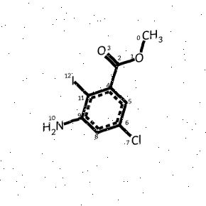 COC(=O)c1cc(Cl)cc(N)c1I